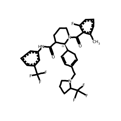 Cc1cccc(F)c1C(=O)N1CCCC(C(=O)Nc2cccc(C(F)(F)F)c2)[C@@H]1C1C=CC(CN2CCCC2C(F)(F)F)=CC1